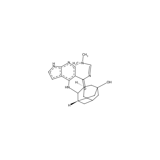 CN(C)/C=N\C(=O)c1cnc2[nH]ccc2c1NC1[C@@H]2CC3C[C@H]1CC(O)(C3)C2